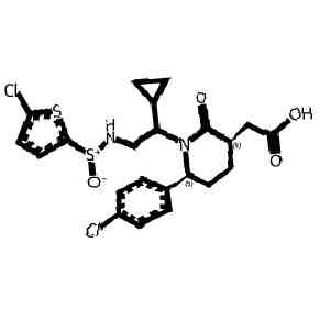 O=C(O)C[C@H]1CC[C@@H](c2ccc(Cl)cc2)N(C(CN[S+]([O-])c2ccc(Cl)s2)C2CC2)C1=O